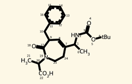 CC(NC(=O)OC(C)(C)C)C1=CC(Cc2ccccc2)C(=O)N(C(C)C(=O)O)CC1